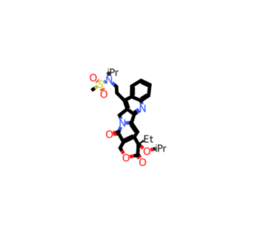 CC[C@@]1(OC(C)C)C(=O)OCc2c1cc1n(c2=O)Cc2c-1nc1ccccc1c2CCN(C(C)C)S(C)(=O)=O